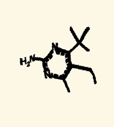 CCc1c(C)nc(N)nc1C(C)(C)C